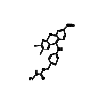 COc1ccc2c(Nc3ccc(COC(=O)NC(C)C)cc3)c3cc(C)c(C)cc3nc2c1